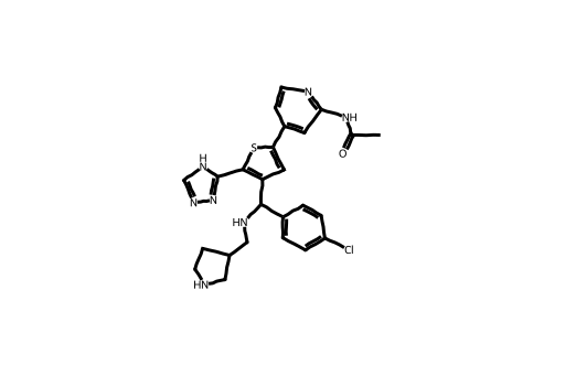 CC(=O)Nc1cc(-c2cc(C(NCC3CCNC3)c3ccc(Cl)cc3)c(-c3nnc[nH]3)s2)ccn1